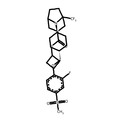 CS(=O)(=O)c1ccc(OC[C@H]2CC[C@H](N3C4CCC3(C(F)(F)F)CN(C(=O)OC3CCC3)C4)CC2)c(F)c1